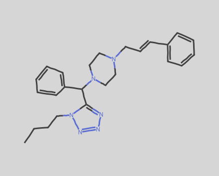 CCCCn1nnnc1C(c1ccccc1)N1CCN(CC=Cc2ccccc2)CC1